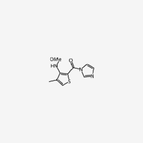 CONc1c(C)csc1C(=O)n1ccnc1